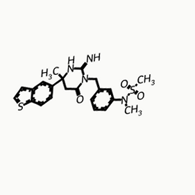 CN(c1cccc(CN2C(=N)NC(C)(c3ccc4sccc4c3)CC2=O)c1)S(C)(=O)=O